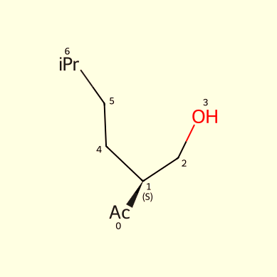 CC(=O)[C@H](CO)CCC(C)C